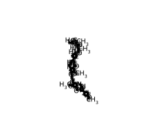 COc1ccc(C2=CN3C(=O)c4cc(OC)c(OCCCOc5cc6c(cc5OC)C(=O)N5C=C(c7ccc(NC(=O)[C@H](C)NC(=O)[C@@H](NC(=O)CI)C(C)C)cc7)C[C@H]5C=N6)cc4N=C[C@@H]3C2)cc1